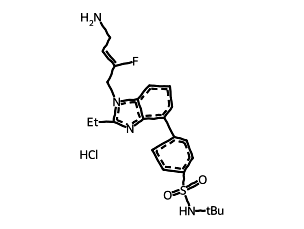 CCc1nc2c(-c3ccc(S(=O)(=O)NC(C)(C)C)cc3)cccc2n1CC(F)=CCN.Cl